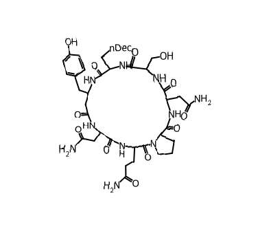 CCCCCCCCCCCC1NC(=O)C(CO)NC(=O)C(CC(N)=O)NC(=O)C2CCCN2C(=O)C(CCC(N)=O)NC(=O)C(CC(N)=O)NC(=O)CC(Cc2ccc(O)cc2)NC1=O